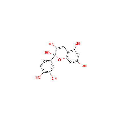 OC1=Cc2c(O)cc(O)cc2OC1(O)c1ccc(O)c(O)c1